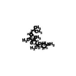 CC(C)CC1CC(N(C)C(=O)N(C)CCC(C)(C)C[C@H]2CC[C@@H](N)CC2)C1